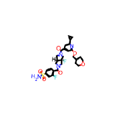 NS(=O)(=O)c1ccc(C(=O)N2C[C@@H]3CN(C(=O)c4cc(OCC5CCOCC5)nc(C5CC5)c4)C[C@@]3(F)C2)c(F)c1